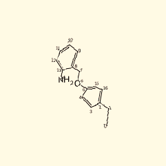 CCc1ccc(OCc2ccccc2N)cc1